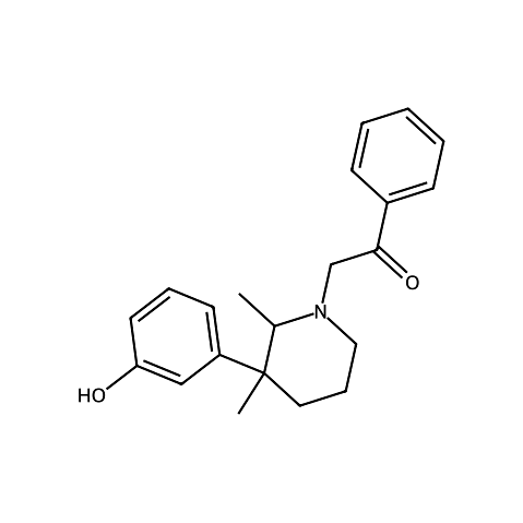 CC1N(CC(=O)c2ccccc2)CCCC1(C)c1cccc(O)c1